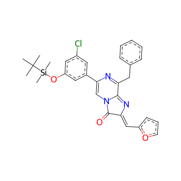 CC(C)(C)[Si](C)(C)Oc1cc(Cl)cc(C2=CN3C(=O)/C(=C/c4ccco4)N=C3C(Cc3ccccc3)=N2)c1